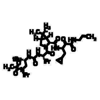 C=CCNC(=O)C(=O)C(CC1CC1)NC(=O)[C@@H]1[C@@H]2[C@H](CN1C(=O)[C@@H](NC(=O)N[C@H](CN(C(C)C)S(C)(=O)=O)C(C)(C)C)C(C)C)C2(C)C